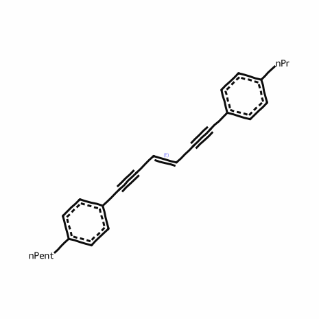 CCCCCc1ccc(C#C/C=C/C#Cc2ccc(CCC)cc2)cc1